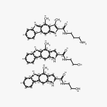 CC1=C(C(=O)NCCCN)N=c2cc3c(c(C)c21)=Nc1ccccc1-3.Cc1c2cc(C(=O)NCCCl)[nH]c2cc2c1sc1ccccc12.Cc1c2cc(C(=O)NCCO)[nH]c2cc2c1sc1ccccc12